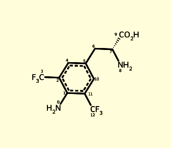 Nc1c(C(F)(F)F)cc(C[C@@H](N)C(=O)O)cc1C(F)(F)F